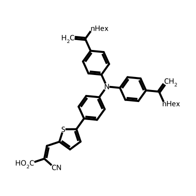 C=C(CCCCCC)c1ccc(N(c2ccc(C(=C)CCCCCC)cc2)c2ccc(-c3ccc(/C=C(\C#N)C(=O)O)s3)cc2)cc1